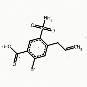 C=CCc1cc(Br)c(C(=O)O)cc1S(N)(=O)=O